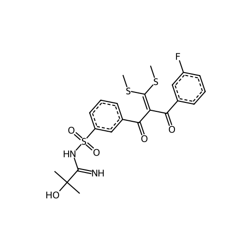 CSC(SC)=C(C(=O)c1cccc(F)c1)C(=O)c1cccc(S(=O)(=O)NC(=N)C(C)(C)O)c1